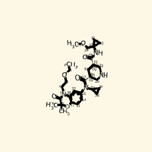 CCOCCN1C(=O)C(C)(C)Oc2ccc(N(C(=O)[C@H]3CNC[C@@H](C(=O)NC4(COC)CC4)C3)C3CC3)cc21